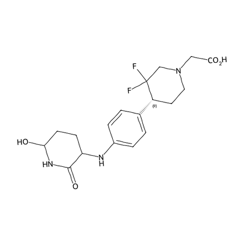 O=C(O)CN1CC[C@H](c2ccc(NC3CCC(O)NC3=O)cc2)C(F)(F)C1